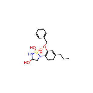 CCCc1ccc(N2CC(O)NS2(O)O)c(OCc2ccccc2)c1